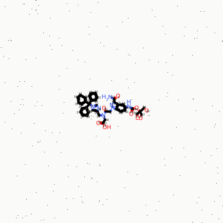 NC(=O)c1nn(CC(=O)N(CC(=O)O)Cc2cn(C(c3ccccc3)(c3ccccc3)c3ccccc3)cn2)c2ccc(NC(=O)OC(C=O)(C=O)C=O)cc12